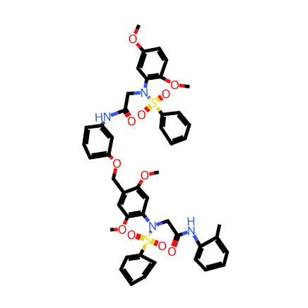 COc1ccc(OC)c(N(CC(=O)Nc2cccc(OCc3cc(OC)c(N(CC(=O)Nc4ccccc4C)S(=O)(=O)c4ccccc4)cc3OC)c2)S(=O)(=O)c2ccccc2)c1